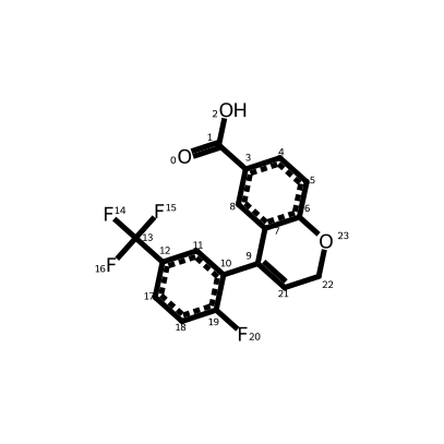 O=C(O)c1ccc2c(c1)C(c1cc(C(F)(F)F)ccc1F)=CCO2